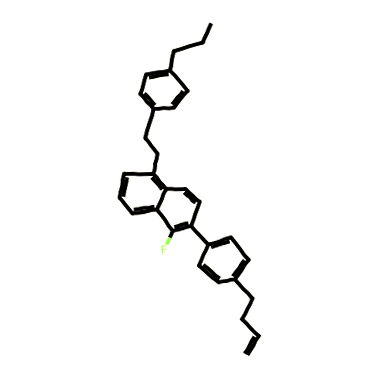 C=CCCc1ccc(-c2ccc3c(CCc4ccc(CCC)cc4)cccc3c2F)cc1